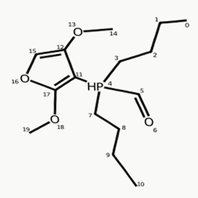 CCCC[PH](C=O)(CCCC)c1c(OC)coc1OC